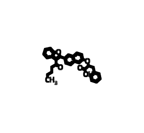 CCCCC(=O)c1c(-c2ccc3cc(OC(Cc4ccccc4)C(=O)O)ccc3c2)oc2ccccc12